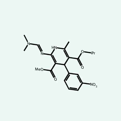 COC(=O)C1=C(N=CN(C)C)NC(C)=C(C(=O)OC(C)C)C1c1cccc([N+](=O)[O-])c1